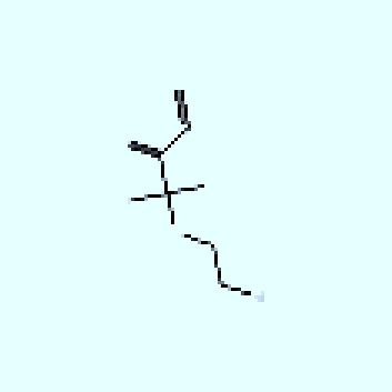 C=CC(=O)C(C)(C)OCCC(C)C